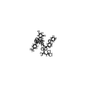 CC1(C)C(C=C(Cl)Cl)C1C(=O)O[C@H](C#N)c1cccc(Oc2ccccc2)c1.CCc1ccc(C(=O)NN(C(=O)c2cc(C)cc(C)c2)C(C)(C)C)cc1